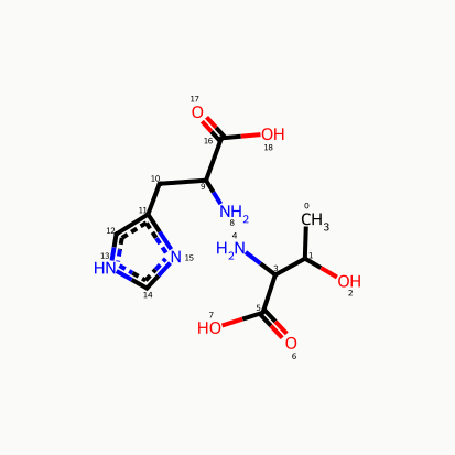 CC(O)C(N)C(=O)O.NC(Cc1c[nH]cn1)C(=O)O